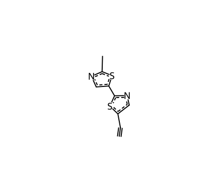 C#Cc1cnc(-c2cnc(C)s2)s1